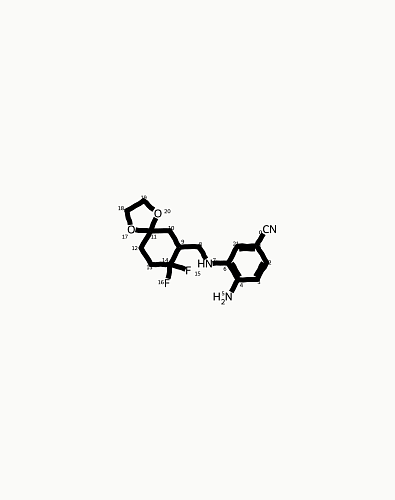 N#Cc1ccc(N)c(NCC2CC3(CCC2(F)F)OCCO3)c1